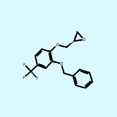 FC(F)(F)c1ccc(OC[C@H]2CO2)c(OCc2ccccc2)c1